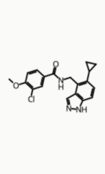 COc1ccc(C(=O)NCc2c(C3CC3)ccc3[nH]ncc23)cc1Cl